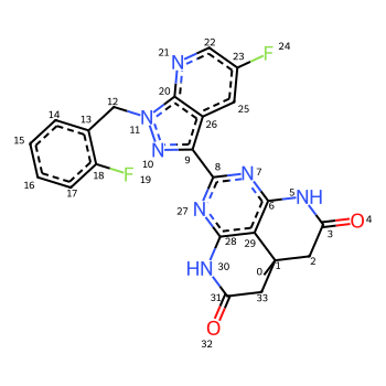 CC12CC(=O)Nc3nc(-c4nn(Cc5ccccc5F)c5ncc(F)cc45)nc(c31)NC(=O)C2